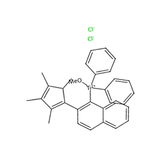 C[O][Ti+2]([c]1ccccc1)([c]1ccccc1)[c]1c(C2=C(C)C(C)=C(C)C2C)ccc2ccccc12.[Cl-].[Cl-]